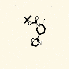 C[C@@H]1CC[C@@H](C2=NCCO2)CN1C(=O)OC(C)(C)C